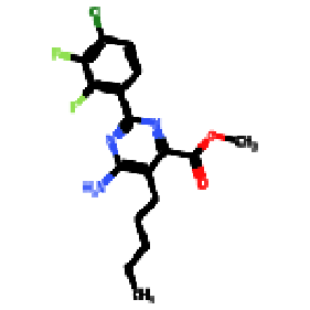 CCCCCc1c(N)nc(-c2ccc(Cl)c(F)c2F)nc1C(=O)OC